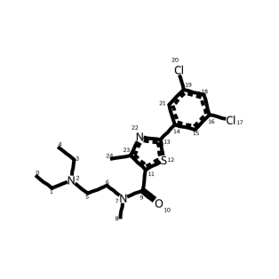 CCN(CC)CCN(C)C(=O)c1sc(-c2cc(Cl)cc(Cl)c2)nc1C